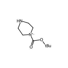 CC(C)(C)OC(=O)[N+]1CCNCC1